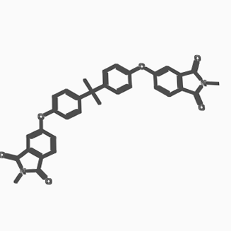 CN1C(=O)c2ccc(Oc3ccc(C(C)(C)c4ccc(Oc5ccc6c(c5)C(=O)N(C)C6=O)cc4)cc3)cc2C1=O